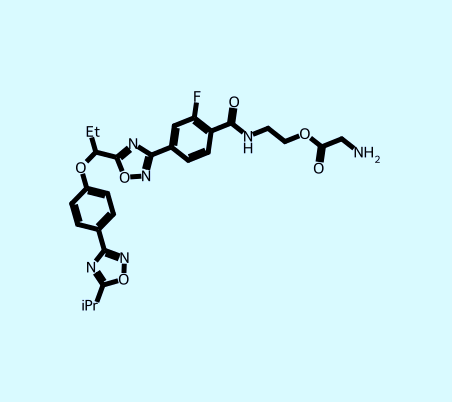 CCC(Oc1ccc(-c2noc(C(C)C)n2)cc1)c1nc(-c2ccc(C(=O)NCCOC(=O)CN)c(F)c2)no1